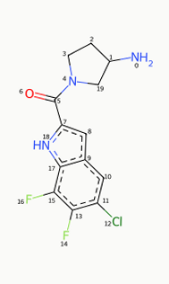 NC1CCN(C(=O)c2cc3cc(Cl)c(F)c(F)c3[nH]2)C1